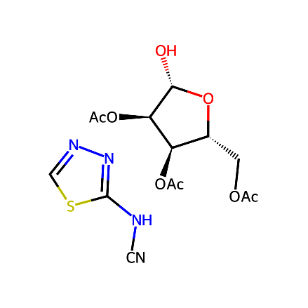 CC(=O)OC[C@H]1O[C@@H](O)[C@H](OC(C)=O)[C@@H]1OC(C)=O.N#CNc1nncs1